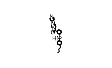 CCCCc1ccc(NSc2cccc(C(=O)N3CCN(c4ccncc4)CC3)c2)cc1